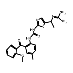 COc1ccccc1C(=O)c1cc(C)ccc1NC(=O)Nc1ncc(C(C)N=C(N)N)s1